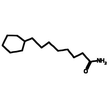 NC(=O)CCCCCCCC1CCCCC1